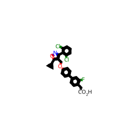 O=C(O)Cc1ccc(-c2ccc(OCc3c(-c4c(Cl)cccc4Cl)noc3C3CC3)cc2)cc1F